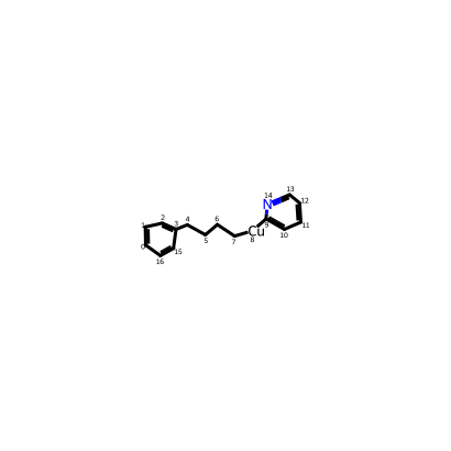 c1ccc(CCC[CH2][Cu][c]2ccccn2)cc1